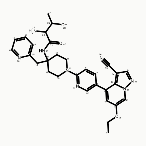 CCOc1cc(-c2ccc(N3CCC(Cc4ccccn4)(NC(=O)C(N)C(C)O)CC3)nc2)c2c(C#N)cnn2c1